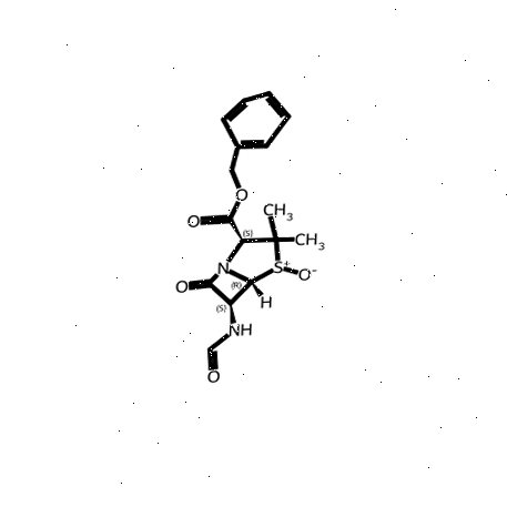 CC1(C)[C@H](C(=O)OCc2ccccc2)N2C(=O)[C@H](NC=O)[C@H]2[S+]1[O-]